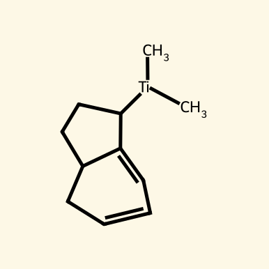 [CH3][Ti]([CH3])[CH]1CCC2CC=CC=C21